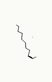 CCCCCCCC/C=C\CCCCCCCC(=O)O.[Na+].[OH-]